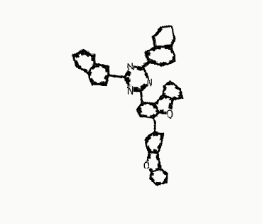 C1=Cc2cc(-c3nc(-c4ccc5ccccc5c4)nc(-c4ccc(-c5ccc6c(c5)oc5ccccc56)c5oc6ccccc6c45)n3)ccc2CC1